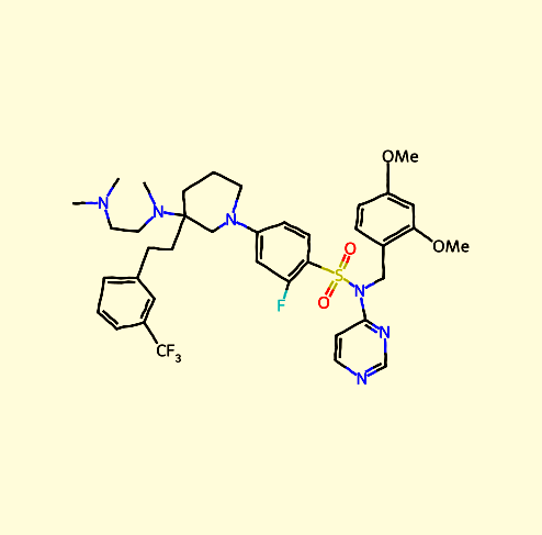 COc1ccc(CN(c2ccncn2)S(=O)(=O)c2ccc(N3CCCC(CCc4cccc(C(F)(F)F)c4)(N(C)CCN(C)C)C3)cc2F)c(OC)c1